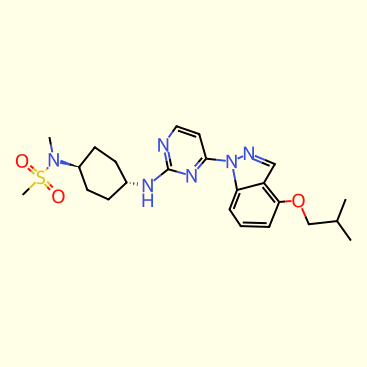 CC(C)COc1cccc2c1cnn2-c1ccnc(N[C@H]2CC[C@H](N(C)S(C)(=O)=O)CC2)n1